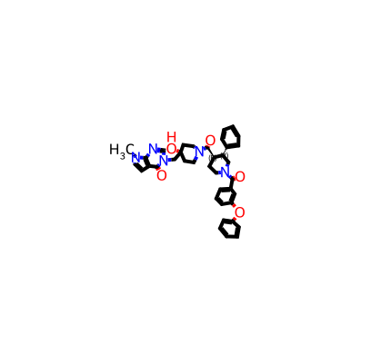 Cn1ccc2c(=O)n(CC3(O)CCN(C(=O)[C@@H]4CCN(C(=O)c5cccc(Oc6ccccc6)c5)C[C@H]4c4ccccc4)CC3)cnc21